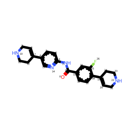 O=C(Nc1ccc(C2=CCNCC2)cn1)c1ccc(C2=CCNCC2)c(F)c1